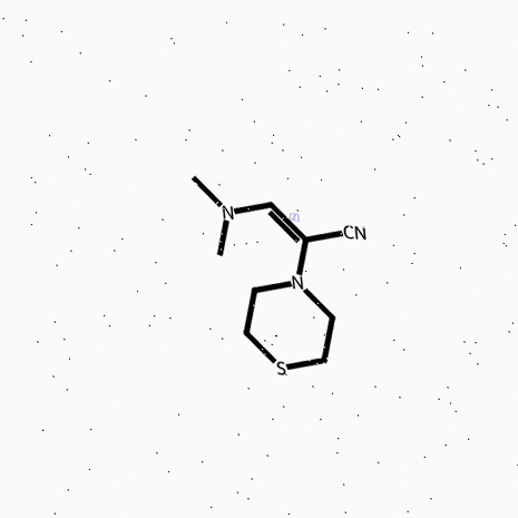 CN(C)/C=C(/C#N)N1CCSCC1